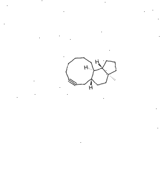 C[C@@]12CCC[C@H]1[C@@H]1CCCCCC#CC[C@H]1CC2